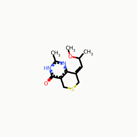 COC(C)/C=C1/CSCc2c1nc(C)[nH]c2=O